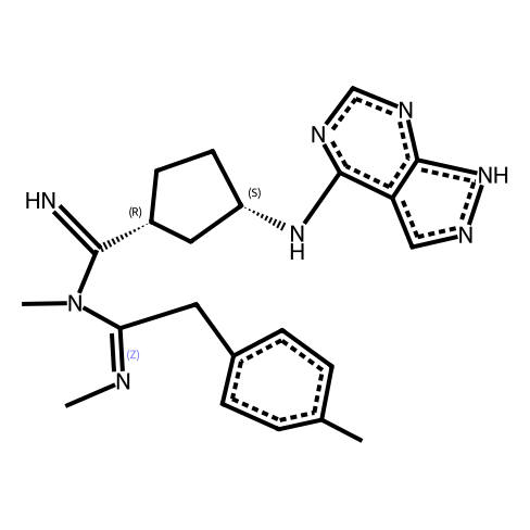 C/N=C(/Cc1ccc(C)cc1)N(C)C(=N)[C@@H]1CC[C@H](Nc2ncnc3[nH]ncc23)C1